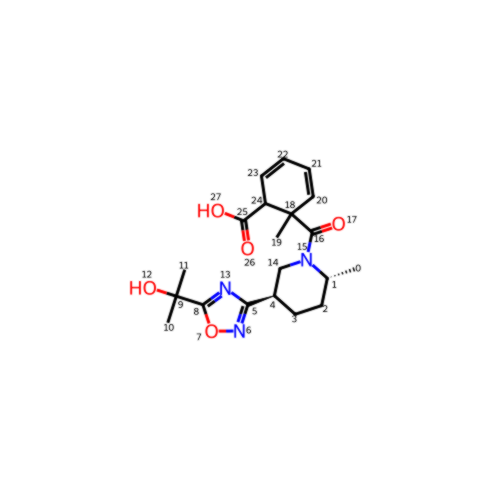 C[C@@H]1CC[C@@H](c2noc(C(C)(C)O)n2)CN1C(=O)C1(C)C=CC=CC1C(=O)O